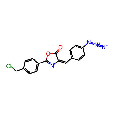 [N-]=[N+]=Nc1ccc(C=C2N=C(c3ccc(CCl)cc3)OC2=O)cc1